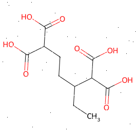 CCC(CCC(C(=O)O)C(=O)O)C(C(=O)O)C(=O)O